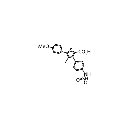 COc1ccc(-c2sc(C(=O)O)c(-c3ccc(N[SH](=O)=O)cc3)c2C)cc1